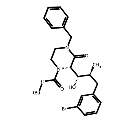 C[C@@H](Cc1cccc(Br)c1)[C@H](O)[C@H]1C(=O)N(Cc2ccccc2)CCN1C(=O)OC(C)(C)C